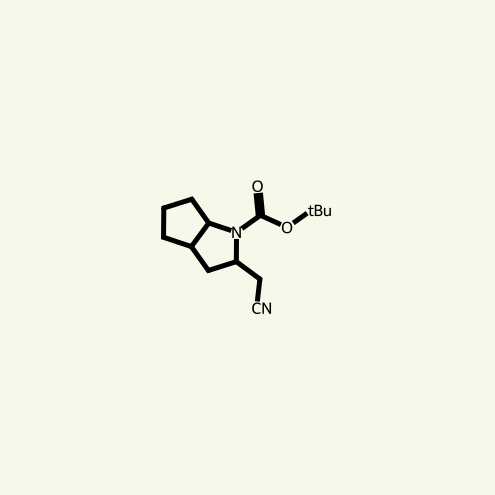 CC(C)(C)OC(=O)N1C(CC#N)CC2CCCC21